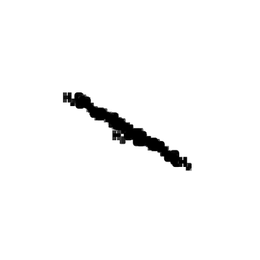 C=CC(=O)OCCCCOc1ccc(/C=C/C(=O)Oc2ccc(/C(C)=N/N=C/c3ccc(SC(=O)/C=C/c4ccc(OCCCCOC(=O)C=C)cc4)cc3)cc2OC)cc1